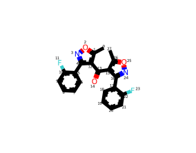 Cc1onc(-c2ccccc2F)c1C(=O)c1c(-c2ccccc2F)noc1C